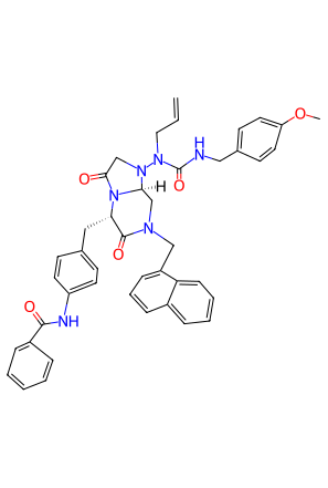 C=CCN(C(=O)NCc1ccc(OC)cc1)N1CC(=O)N2[C@@H](Cc3ccc(NC(=O)c4ccccc4)cc3)C(=O)N(Cc3cccc4ccccc34)C[C@@H]21